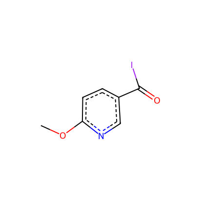 COc1ccc(C(=O)I)cn1